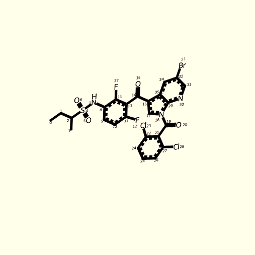 CCC(C)S(=O)(=O)Nc1ccc(F)c(C(=O)c2cn(C(=O)c3c(Cl)cccc3Cl)c3ncc(Br)cc23)c1F